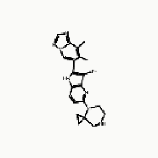 Cc1c(-c2[nH]c3ccc(N4CCNCC45CC5)nc3c2C(C)C)cn2ncnc2c1C